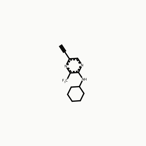 C#Cc1cnc(NC2CCCCC2)c(C(F)(F)F)n1